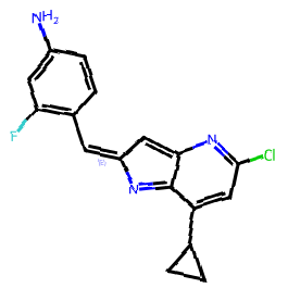 Nc1ccc(/C=C2\C=c3nc(Cl)cc(C4CC4)c3=N2)c(F)c1